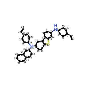 C=Cc1ccc(Nc2ccc3c(c2)sc2ccc(N(c4ccc(C=C)cc4)c4ccc5ccccc5c4)cc23)cc1